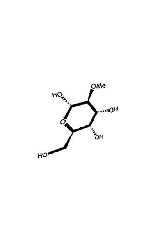 CO[C@H]1[C@H](O)[C@H](O)[C@@H](CO)O[C@@H]1O